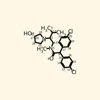 CC(C)C(CN(C)C(=O)C(c1ccc(Cl)cc1)c1ccc(Cl)cc1)N1CC[C@H](O)C1